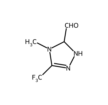 CN1C(C(F)(F)F)=NNC1C=O